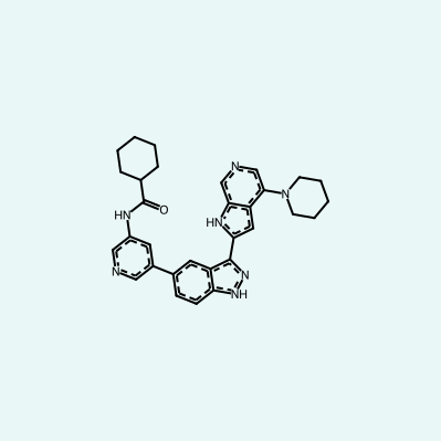 O=C(Nc1cncc(-c2ccc3[nH]nc(-c4cc5c(N6CCCCC6)cncc5[nH]4)c3c2)c1)C1CCCCC1